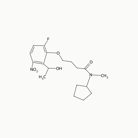 CC(O)c1c([N+](=O)[O-])ccc(F)c1OCCCC(=O)N(C)C1CCCC1